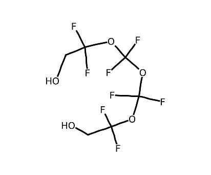 OCC(F)(F)OC(F)(F)OC(F)(F)OC(F)(F)CO